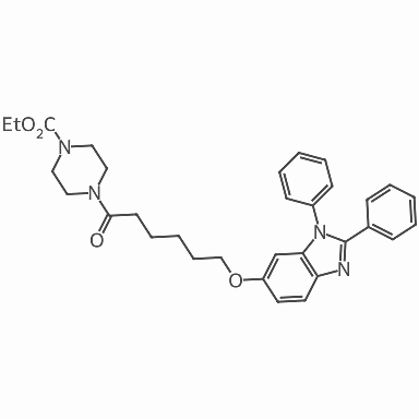 CCOC(=O)N1CCN(C(=O)CCCCCOc2ccc3nc(-c4ccccc4)n(-c4ccccc4)c3c2)CC1